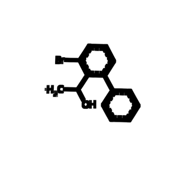 [CH2]C(O)c1c(Br)cccc1-c1ccccc1